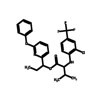 CCC(OC(=O)C(Nc1ccc(C(F)(F)F)cc1Cl)C(C)C)c1cccc(Oc2ccccc2)n1